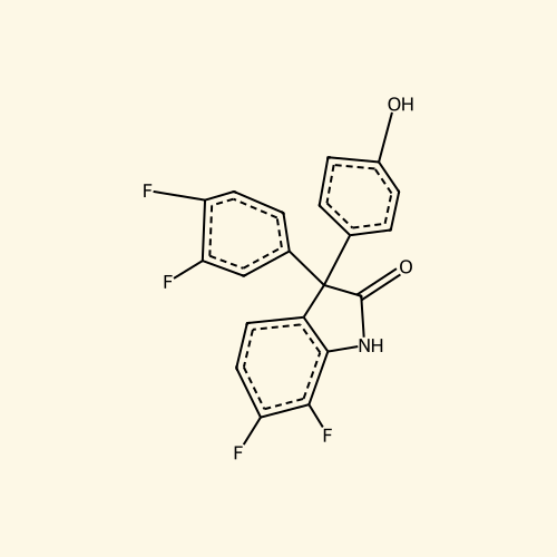 O=C1Nc2c(ccc(F)c2F)C1(c1ccc(O)cc1)c1ccc(F)c(F)c1